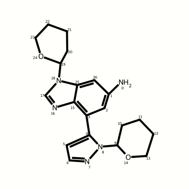 Nc1cc(-c2ccnn2C2CCCCO2)c2ncn(C3CCCCO3)c2c1